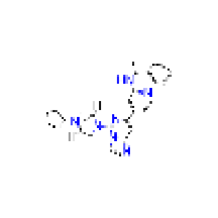 C[C@H](Nc1cc(-c2cc3nccn3c(N3C[C@@H]4C[C@H]3CN4C3CCCC3)n2)ccn1)c1ccccc1